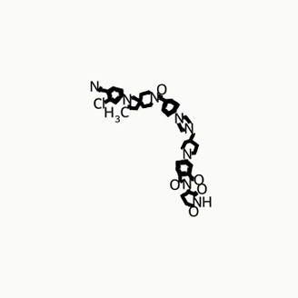 CC1CC2(CCN(C(=O)c3ccc(N4CCN(CC5CCN(c6ccc7c(c6)C(=O)N(C6CCC(=O)NC6=O)C7=O)CC5)CC4)cc3)CC2)CN1c1ccc(C#N)c(Cl)c1